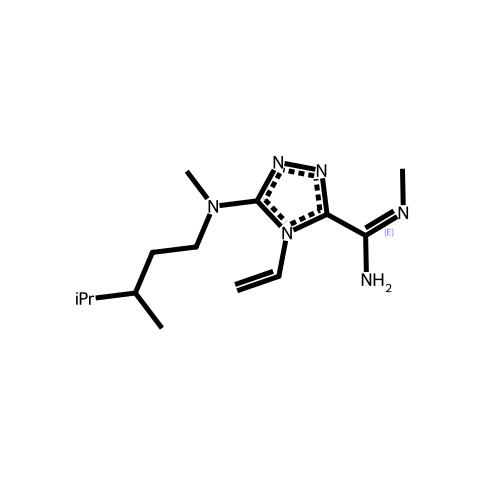 C=Cn1c(/C(N)=N\C)nnc1N(C)CCC(C)C(C)C